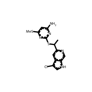 CSc1cc(N)nc(SC(C)c2cc3c(Cl)c[nH]c3cn2)n1